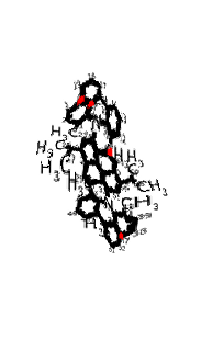 Cc1cccc(C)c1N(c1c(C)cccc1-c1ccccc1)c1cc(C(C)C)c2ccc3c(N(c4c(C)cccc4C)c4c(C)cccc4-c4ccccc4)cc(C(C)C)c4ccc1c2c43